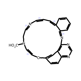 O=C(O)N1/C=C\Oc2ccc3ncnc(c3c2)/N=c2/cccc/c2=C/C=C\N=C/C1